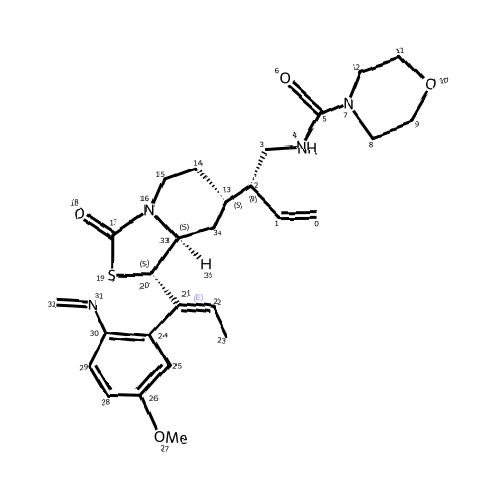 C=C[C@@H](CNC(=O)N1CCOCC1)[C@H]1CCN2C(=O)S[C@@H](/C(=C/C)c3cc(OC)ccc3N=C)[C@@H]2C1